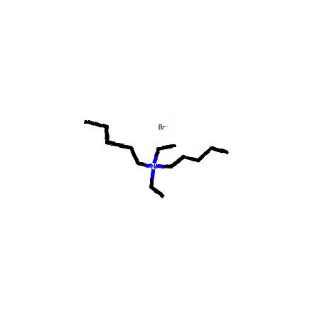 CCCCC[N+](CC)(CC)CCCCC.[Br-]